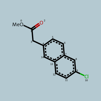 COC(=O)Cc1ccc2cc(Cl)ccc2c1